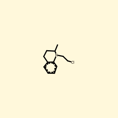 CC1CCc2ccccc2N1CCCl